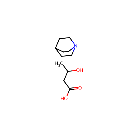 C1CN2CCC1CC2.CC(O)CC(=O)O